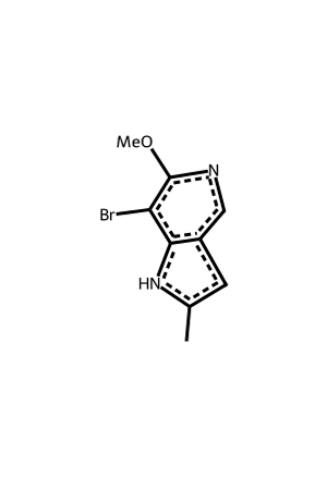 COc1ncc2cc(C)[nH]c2c1Br